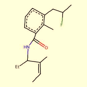 C/C=C(/C)C(CC)NC(=O)c1cccc(CC(C)F)c1C